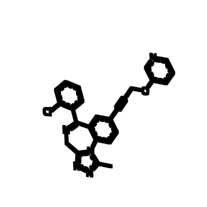 Cc1nnc2n1-c1ccc(C#CCOc3cccnc3)cc1C(c1ccccc1Cl)=NC2